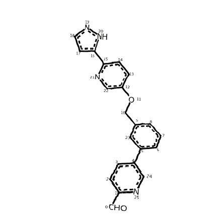 O=Cc1ccc(-c2cccc(COc3ccc(-c4ccn[nH]4)nc3)c2)cn1